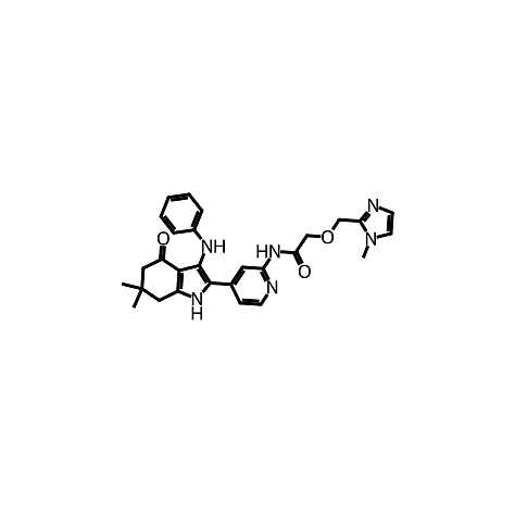 Cn1ccnc1COCC(=O)Nc1cc(-c2[nH]c3c(c2Nc2ccccc2)C(=O)CC(C)(C)C3)ccn1